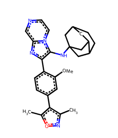 COc1cc(-c2c(C)noc2C)ccc1-c1nc2cnccn2c1NC12CC3CCC(C1)C(C3)C2